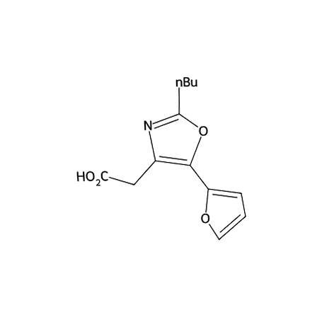 CCCCc1nc(CC(=O)O)c(-c2ccco2)o1